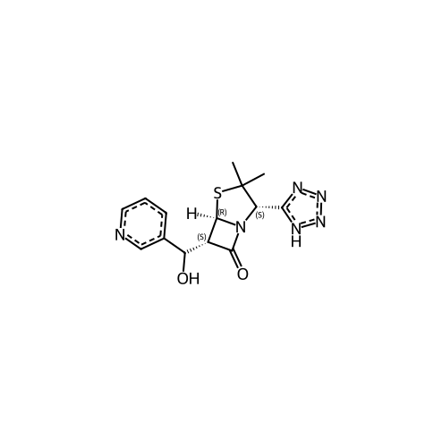 CC1(C)S[C@@H]2[C@@H](C(O)c3cccnc3)C(=O)N2[C@H]1c1nnn[nH]1